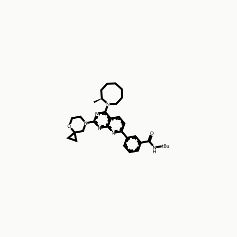 C[C@H]1CCCCCCN1c1nc(N2CCOC3(CC3)C2)nc2nc(-c3cccc(C(=O)NC(C)(C)C)c3)ccc12